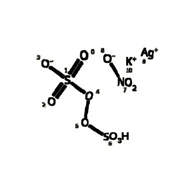 O=S(=O)([O-])OOS(=O)(=O)O.O=[N+]([O-])[O-].[Ag+].[K+]